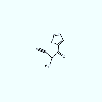 CC(C#N)C(=O)c1ccco1